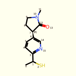 CC(S)c1ccc([C@H]2CCN(C)C2=O)cn1